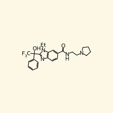 CCn1c(C(O)(c2ccccc2)C(F)(F)F)nc2ccc(C(=O)NCCN3CCCC3)cc21